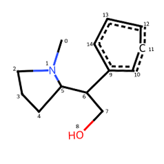 CN1CCCC1C(CO)c1ccccc1